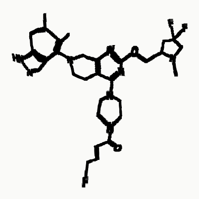 Cc1cc2[nH]ncc2c(N2CCc3c(nc(OCC4CC(F)(F)CN4C)nc3N3CCN(C(=O)/C=C/CF)CC3)C2)c1C